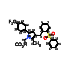 Cc1c(Cc2ccccc2S(=O)(=O)c2ccccc2)cc(-c2ccc(C(F)(F)F)cc2)n1CC(=O)O